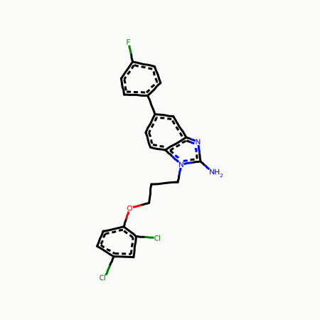 Nc1nc2cc(-c3ccc(F)cc3)ccc2n1CCCOc1ccc(Cl)cc1Cl